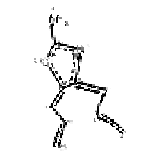 C=C/C=c1/nc(N)o/c1=C/C=C